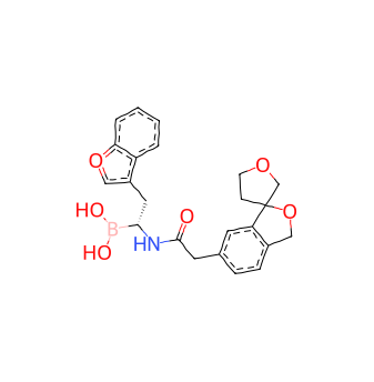 O=C(Cc1ccc2c(c1)C1(CCOC1)OC2)N[C@@H](Cc1coc2ccccc12)B(O)O